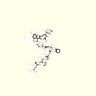 CC[C@@]1(O)C(=O)OCc2c1cc1n(c2=O)Cc2c-1nc1cc(F)c(C)c3c1c2[C@@H](NC(=O)[C@@H](C)OCNC(=O)CNC(=O)[C@H](Cc1ccccc1)NC(=O)CNC(=O)CNC(=O)C(CNC(CCC(=O)O)C(=O)O)N1CC=CC1=O)CC3